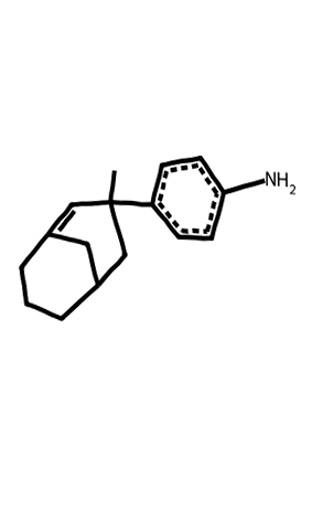 CC1(c2ccc(N)cc2)C=C2CCCC(C2)C1